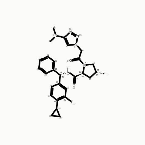 CN(C)c1cn(CC(=O)N2C[C@H](F)C[C@H]2C(=O)N[C@@H](c2ccccc2)c2ccc(C3CC3)c(F)c2)nn1